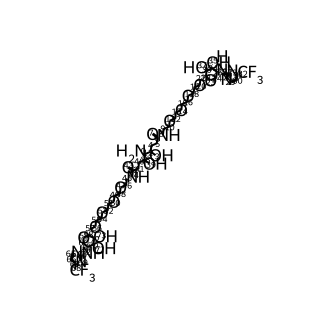 NC(C(O)CCC(=O)NCCOCCOCCOCCOC[C@H]1OC[C@H](Nc2nccc(C(F)(F)F)n2)[C@@H](O)[C@H]1O)C(O)CCC(=O)NCCOCCOCCOCCOC[C@H]1OC[C@H](Nc2nccc(C(F)(F)F)n2)[C@@H](O)[C@H]1O